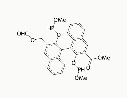 COPOc1c(COC=O)cc2ccccc2c1-c1c(OPOC)c(C(=O)OC)cc2ccccc12